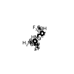 NS(=O)(=O)c1cc(NC(=O)CC2CCCCC2OC(O)C(F)(F)F)cc2nn(C(F)F)cc12